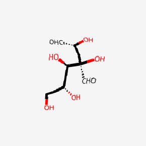 O=C[C@H](O)[C@](O)(C=O)[C@H](O)[C@H](O)CO